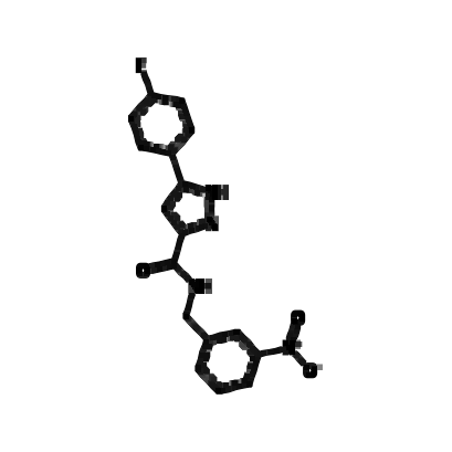 O=C(NCc1cccc([N+](=O)[O-])c1)c1cc(-c2ccc(F)cc2)[nH]n1